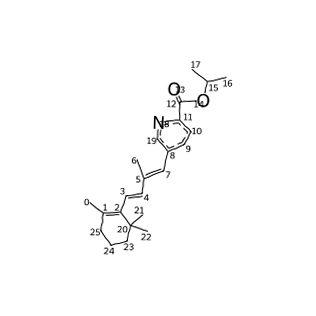 CC1=C(C=C/C(C)=C/c2ccc(C(=O)OC(C)C)nc2)C(C)(C)CCC1